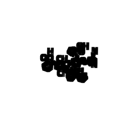 Cc1cc(OCC2(COc3cc(OCc4cncc(C#N)c4)c(CN4CCCC[C@H]4C(=O)O)cc3Cl)C=CC=C(c3ccccc3C)C2C)c(Cl)cc1CN1CCCC[C@H]1C(=O)O